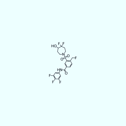 O=C(Nc1cc(F)c(F)c(F)c1)c1ccc(CF)c(S(=O)(=O)N2CCC(O)C(F)(F)CC2)c1